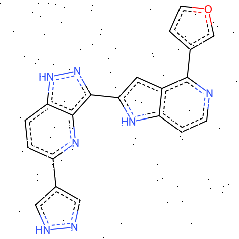 c1cc2[nH]c(-c3n[nH]c4ccc(-c5cn[nH]c5)nc34)cc2c(-c2ccoc2)n1